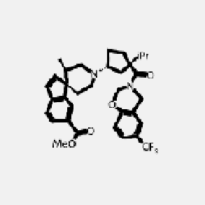 COC(=O)c1ccc2c(c1)[C@@]1(C=C2)CCN([C@@H]2CC[C@@](C(=O)N3COc4ccc(C(F)(F)F)cc4C3)(C(C)C)C2)C[C@@H]1C